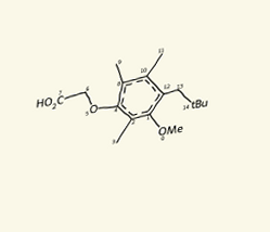 COc1c(C)c(OCC(=O)O)c(C)c(C)c1CC(C)(C)C